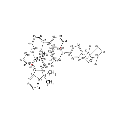 CC1(C)c2ccccc2-c2ccc(N(c3ccc(-c4ccc(C56CC7CC(CC(C7)C5)C6)cc4)cc3)c3c(-c4ccccc4)cccc3-c3ccccc3-c3ccccc3)cc21